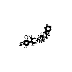 O=N[C@H]1CN(c2ncn(Cc3cc4c(s3)CCCC4)c(=O)n2)CC=C1c1ccc(F)cc1